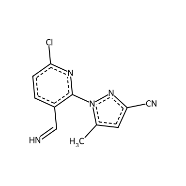 Cc1cc(C#N)nn1-c1nc(Cl)ccc1C=N